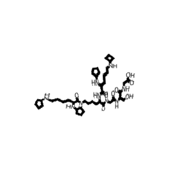 O=C(O)CNC(=O)C(CO)NC(=O)CNC(=O)C(CCCCNC(=O)C(CCCCNC1CCCC1)NC1CCCC1)NC(=O)C(CCCCNC1CCC1)NC1CCCC1